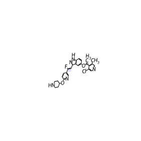 Cc1cncc(Cl)c1[C@@H](C)Oc1ccc2[nH]nc(/C=C(\F)c3ccc(OC4CCNCC4)nc3)c2c1